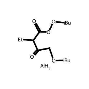 CCC(C)OCC(=O)C(CC)C(=O)OOC(C)CC.[AlH3]